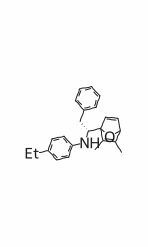 CCc1ccc(N[C@H](Cc2ccccc2)C23C=CC(O2)C(C)=C3C)cc1